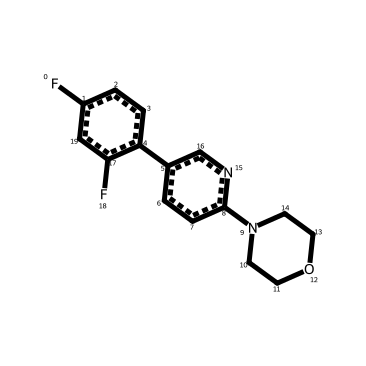 Fc1ccc(-c2ccc(N3CCOCC3)nc2)c(F)c1